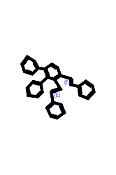 C(=C\c1ccc(-c2ccccc2)c(-c2ccccc2)c1/C=C/c1ccccc1)/c1ccccc1